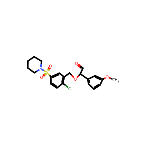 COc1cccc(C(C=O)OCc2cc(S(=O)(=O)N3CCCCC3)ccc2Cl)c1